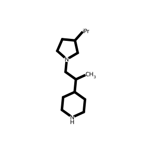 CC(C)C1CCN(CC(C)C2CCNCC2)C1